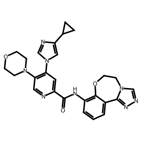 O=C(Nc1cccc2c1OCCn1cnnc1-2)c1cc(-n2cnc(C3CC3)c2)c(N2CCOCC2)cn1